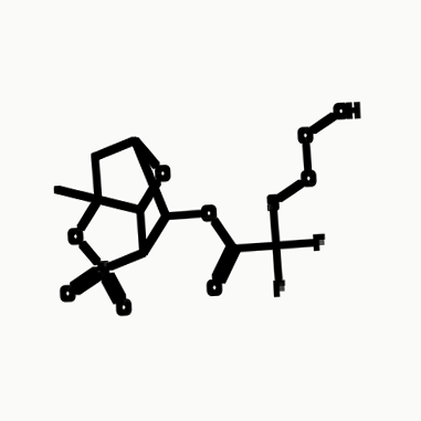 CC12CC3OC1C(C3OC(=O)C(F)(F)SOOO)S(=O)(=O)O2